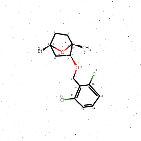 CC[C@@]12CC[C@@](C)(O1)[C@@H](OCc1c(Cl)cccc1Cl)C2